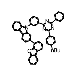 CCCCc1ccc(-c2nc(-c3ccccc3)nc(-c3cccc(-n4c5ccccc5c5ccc(-c6cccc7c6oc6ccccc67)cc54)c3)n2)cc1